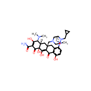 CN(C)c1ccc(O)c2c1C[C@@]1(CN3CCN(CC4CC4)CC3)C[C@H]3[C@H](N(C)C)C(O)=C(C(N)=O)C(=O)[C@@]3(O)C(O)=C1C2=O